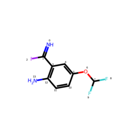 N=C(I)c1cc(OC(F)F)ccc1N